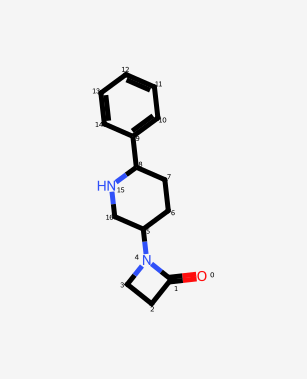 O=C1CCN1C1CCC(c2ccccc2)NC1